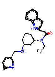 O=C(c1cc2ccccc2[nH]1)N(CC(F)(F)F)[C@H]1CCC[C@H](NCc2cccnc2)C1